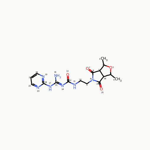 CC1OC(C)C2C(=O)N(CCNC(=O)/N=C(\N)Nc3ncccn3)C(=O)C12